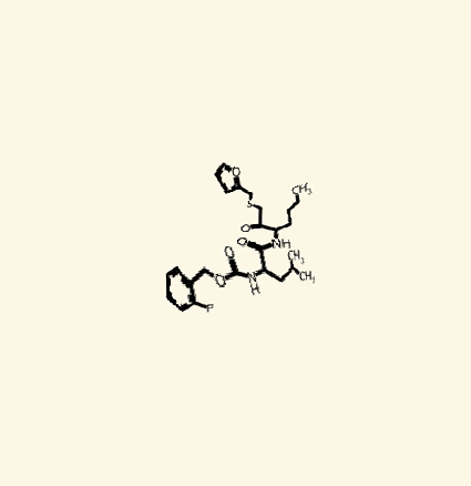 CCCCC(NC(=O)C(CC(C)C)NC(=O)OCc1ccccc1F)C(=O)CSCc1ccco1